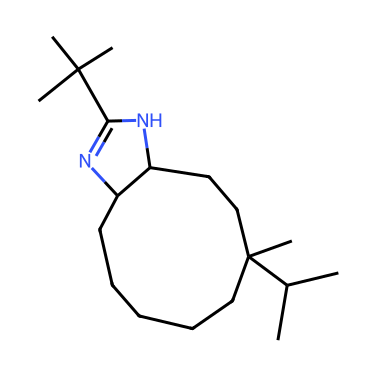 CC(C)C1(C)CCCCCC2N=C(C(C)(C)C)NC2CC1